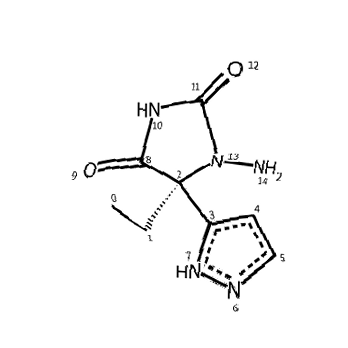 CC[C@]1(c2ccn[nH]2)C(=O)NC(=O)N1N